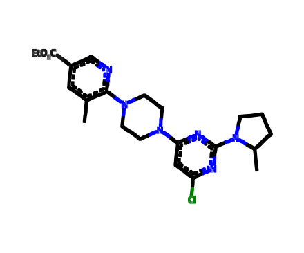 CCOC(=O)c1cnc(N2CCN(c3cc(Cl)nc(N4CCCC4C)n3)CC2)c(C)c1